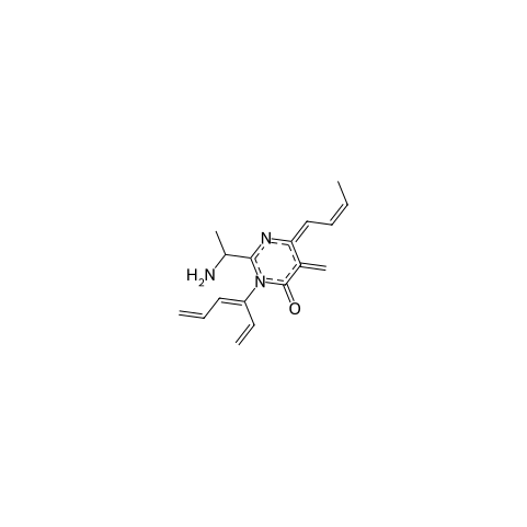 C=C/C=C(\C=C)n1c(C(C)N)n/c(=C/C=C\C)c(=C)c1=O